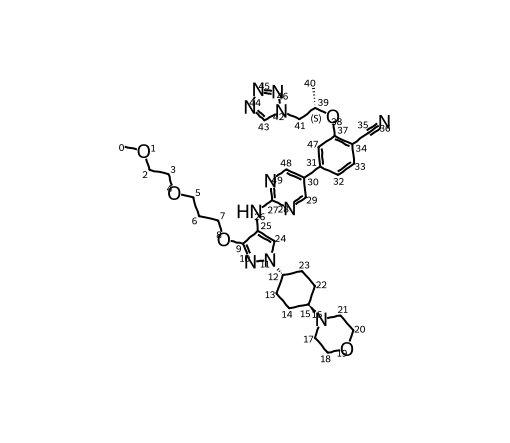 COCCOCCCOc1nn([C@H]2CC[C@H](N3CCOCC3)CC2)cc1Nc1ncc(-c2ccc(C#N)c(O[C@@H](C)Cn3cnnn3)c2)cn1